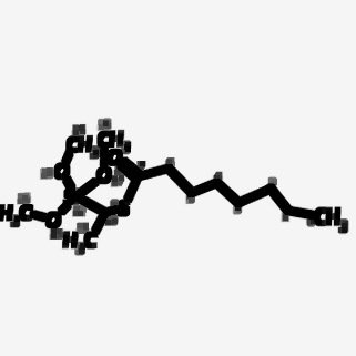 CCCCCCCC(=O)SC(C)[Si](OC)(OC)OC